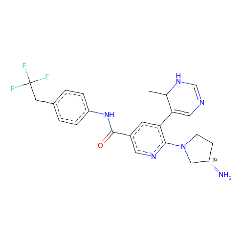 CC1NC=NC=C1c1cc(C(=O)Nc2ccc(CC(F)(F)F)cc2)cnc1N1CC[C@H](N)C1